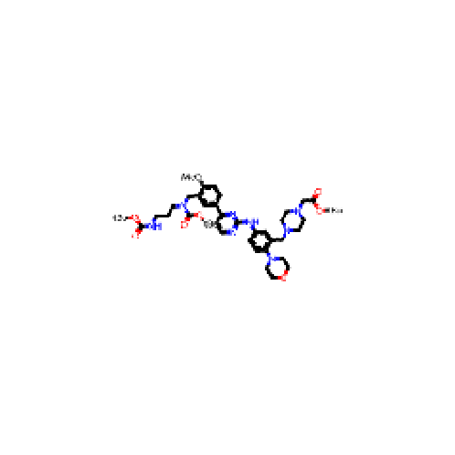 COc1ccc(-c2ccnc(Nc3ccc(N4CCOCC4)c(CN4CCN(CC(=O)OC(C)(C)C)CC4)c3)n2)cc1CN(CCCNC(=O)OC(C)(C)C)C(=O)OC(C)(C)C